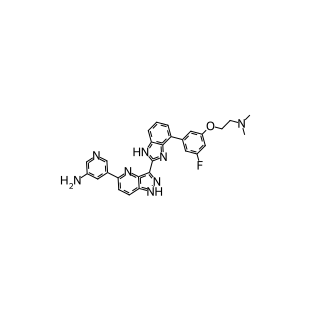 CN(C)CCOc1cc(F)cc(-c2cccc3[nH]c(-c4n[nH]c5ccc(-c6cncc(N)c6)nc45)nc23)c1